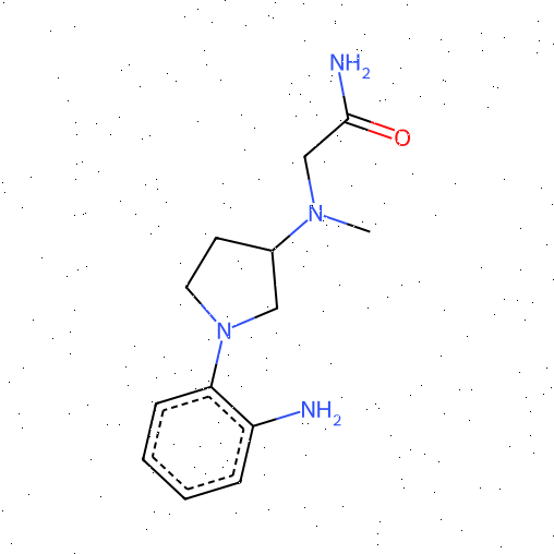 CN(CC(N)=O)C1CCN(c2ccccc2N)C1